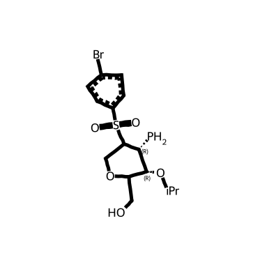 CC(C)O[C@@H]1C(CO)OCC(S(=O)(=O)c2ccc(Br)cc2)[C@@H]1P